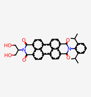 CC(C)c1cccc(C(C)C)c1N1C(=O)c2ccc3c4ccc5c6c(ccc(c7ccc(c2c37)C1=O)c64)C(=O)N(C(CO)CO)C5=O